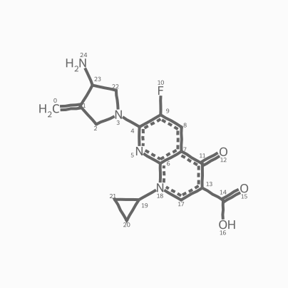 C=C1CN(c2nc3c(cc2F)c(=O)c(C(=O)O)cn3C2CC2)CC1N